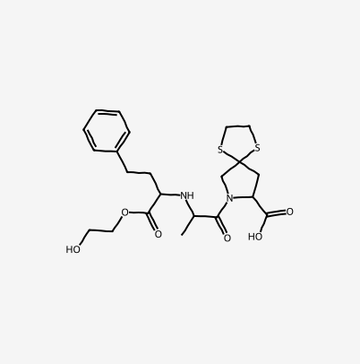 CC(NC(CCc1ccccc1)C(=O)OCCO)C(=O)N1CC2(CC1C(=O)O)SCCS2